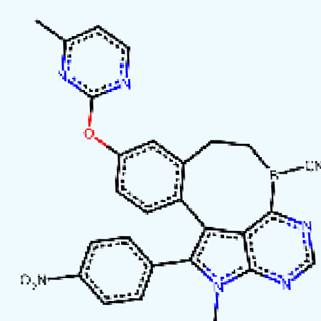 Cc1ccnc(Oc2ccc3c(c2)CCB(C#N)c2ncnc4c2c-3c(-c2ccc([N+](=O)[O-])cc2)n4C)n1